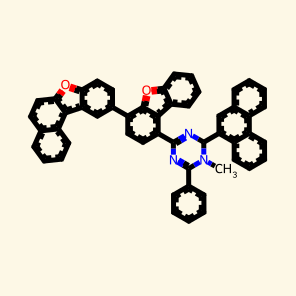 CN1C(c2ccccc2)=NC(c2ccc(-c3ccc4oc5ccc6ccccc6c5c4c3)c3oc4ccccc4c23)=NC1c1cc2ccccc2c2ccccc12